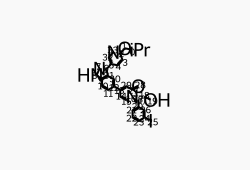 CC(C)Oc1ccc(-c2n[nH]c3ccc(-c4ccn([C@H](CO)c5cccc(I)c5)c(=O)c4)cc23)cn1